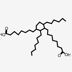 CCCCCCCC1C(CCCCCCCC(=O)O)CCC(CCCCCC)C1CCCCCCCC(=O)O